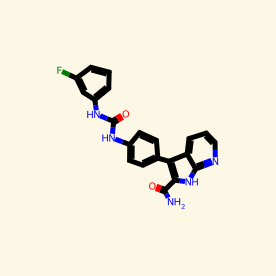 NC(=O)c1[nH]c2ncccc2c1-c1ccc(NC(=O)Nc2cccc(F)c2)cc1